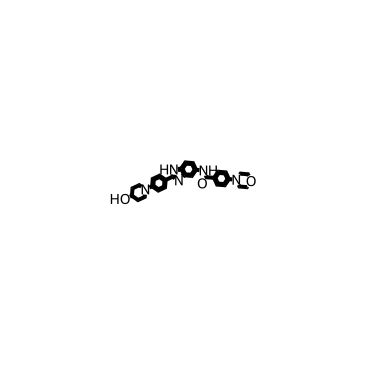 O=C(Nc1ccc2[nH]c(-c3ccc(N4CCC(O)CC4)cc3)nc2c1)c1ccc(N2CCOCC2)cc1